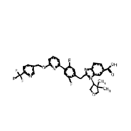 CC1(C)COCC1n1c(Cc2cc(F)c(-c3cccc(OCc4ccc(C(F)(F)F)nc4)n3)cc2F)nc2ccc(C(=O)O)cc21